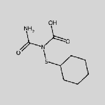 NC(=O)N(SC1CCCCC1)C(=O)O